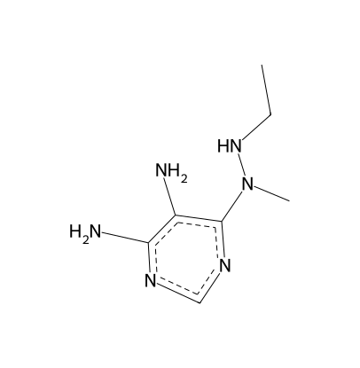 CCNN(C)c1ncnc(N)c1N